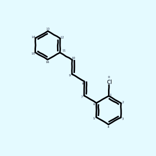 Clc1ccccc1/C=C/C=C/c1ccccc1